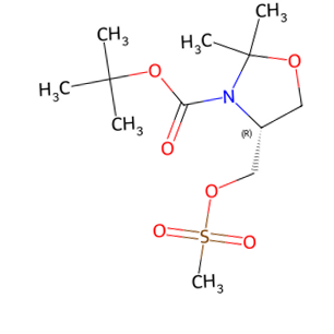 CC(C)(C)OC(=O)N1[C@@H](COS(C)(=O)=O)COC1(C)C